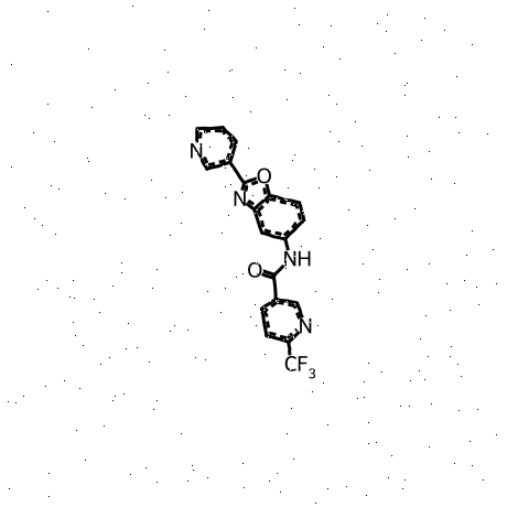 O=C(Nc1ccc2oc(-c3cccnc3)nc2c1)c1ccc(C(F)(F)F)nc1